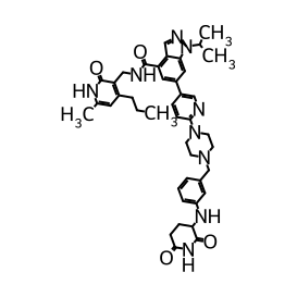 CCCc1cc(C)[nH]c(=O)c1CNC(=O)c1cc(-c2ccc(N3CCN(Cc4cccc(NC5CCC(=O)NC5=O)c4)CC3)nc2)cc2c1cnn2C(C)C